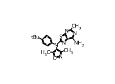 Cc1nc(N)c2nc(N(c3ccc(C(C)(C)C)cc3)c3c(C)noc3C)sc2n1